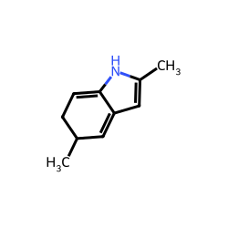 Cc1cc2c([nH]1)=CCC(C)C=2